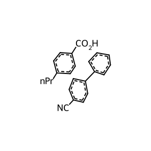 CCCc1ccc(C(=O)O)cc1.N#Cc1ccc(-c2ccccc2)cc1